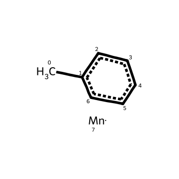 Cc1ccccc1.[Mn]